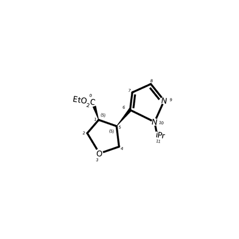 CCOC(=O)[C@@H]1COC[C@@H]1c1ccnn1C(C)C